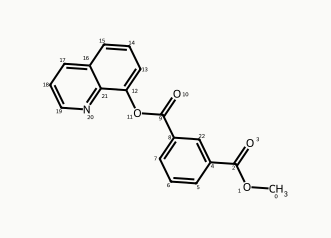 COC(=O)c1cccc(C(=O)Oc2cccc3cccnc23)c1